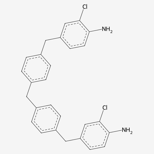 Nc1ccc(Cc2ccc(Cc3ccc(Cc4ccc(N)c(Cl)c4)cc3)cc2)cc1Cl